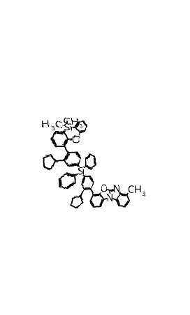 Cc1cccc2c1nc1oc3c(-c4ccc([Si](c5ccccc5)(c5ccccc5)c5ccc(-c6cccc7c6Oc6ccccc6[Si]7(C)C)c(C6CCCC6)c5)cc4C4CCCC4)cccc3n12